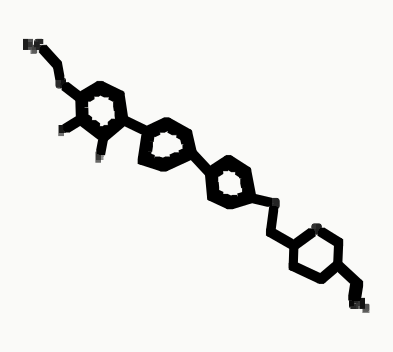 C=CC1CCC(COc2ccc(-c3ccc(-c4ccc(OCC)c(F)c4F)cc3)cc2)OC1